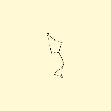 C1OC1CC1CC2OC2C1